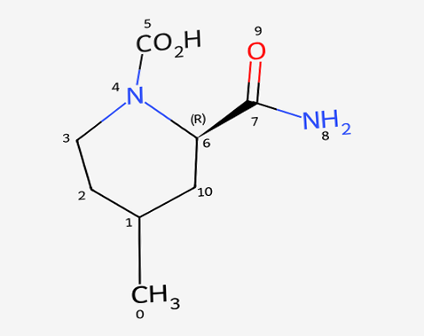 CC1CCN(C(=O)O)[C@@H](C(N)=O)C1